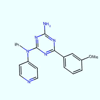 COc1cccc(-c2nc(N)nc(N(c3ccncc3)C(C)C)n2)c1